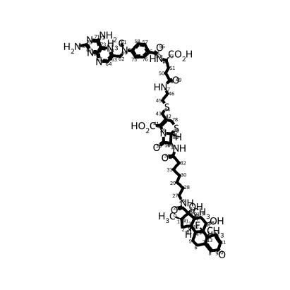 C[C@@H]1C[C@H]2C3CCC4=CC(=O)C=C[C@]4(C)[C@@]3(F)[C@@H](O)C[C@]2(C)[C@@]1(O)C(=O)NCCCCCCC(=O)N[C@@H]1C(=O)N2C(C(=O)O)=C(CSCCNC(=O)CC[C@H](NC(=O)c3ccc(N(C)Cc4cnc5nc(N)nc(N)c5n4)cc3)C(=O)O)CS[C@H]12